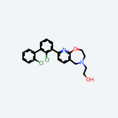 OCCN1CCOc2nc(-c3cccc(-c4ccccc4Cl)c3Cl)ccc2C1